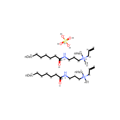 C=CC[N+](CC)(CCCCCC)CCCNC(=O)CCCCCCCCCCCCCCC.C=CC[N+](CC)(CCCCCC)CCCNC(=O)CCCCCCCCCCCCCCC.O=S(=O)([O-])[O-]